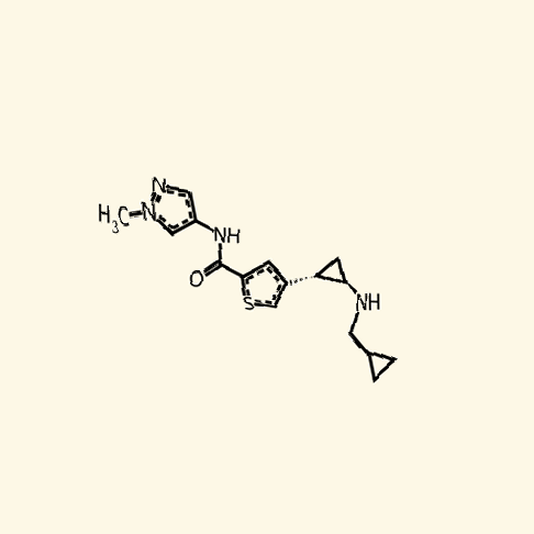 Cn1cc(NC(=O)c2cc([C@@H]3C[C@H]3NCC3CC3)cs2)cn1